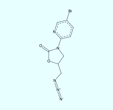 [N-]=[N+]=NCC1CN(c2ccc(Br)cn2)C(=O)O1